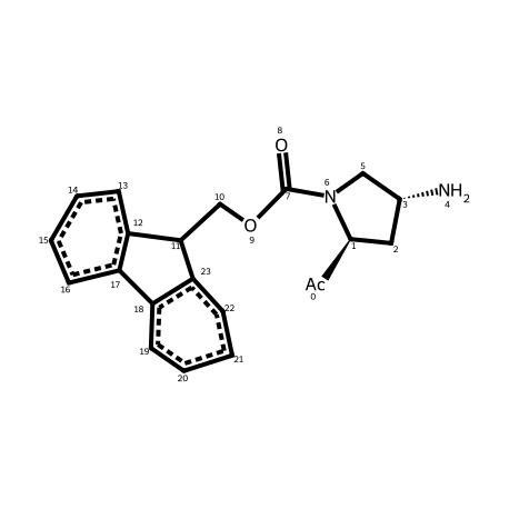 CC(=O)[C@@H]1C[C@@H](N)CN1C(=O)OCC1c2ccccc2-c2ccccc21